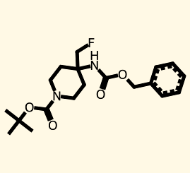 CC(C)(C)OC(=O)N1CCC(CF)(NC(=O)OCc2ccccc2)CC1